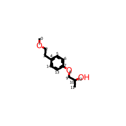 COCCc1ccc(OCC(C)O)cc1